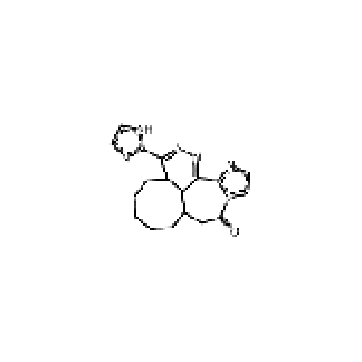 O=C1CC2CCCCCC3C(c4ncc[nH]4)=NN=C(c4nccn41)C23